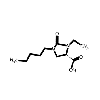 CCCCCN1C[C@@H](C(=O)O)N(CC)C1=O